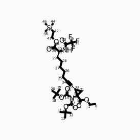 CCOC(=O)[C@@]1(N(C(=O)OC(C)(C)C)C(=O)OC(C)(C)C)C[C@H]1C#CCCCCC[C@H](NC(=O)C(F)(F)F)C(=O)OCC[Si](C)(C)C